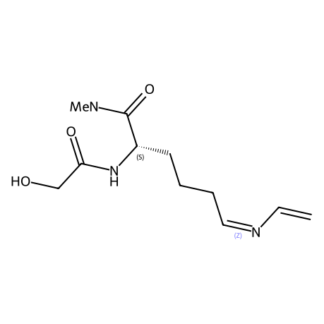 C=C/N=C\CCC[C@H](NC(=O)CO)C(=O)NC